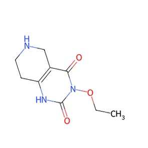 CCOn1c(=O)[nH]c2c(c1=O)CNCC2